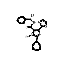 CC[C@H](NC(=O)c1c(-c2nccs2)nc(-c2ccccc2)n1CC)c1ccccc1